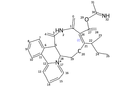 C=C1NC(=C)C2c3ccccc3-c3cccc[n+]3C2CC/C(C(C)CC)=C\1C(=C)OC(C)=N